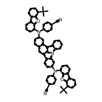 CC(C)(C)c1cccc2c1oc1c(N(c3ccc(C#N)cc3)c3ccc4cc5c6ccc(N(c7ccc(C#N)cc7)c7cccc8c7oc7c(C(C)(C)C)cccc78)cc6n6c7ccccc7c(c4c3)c56)cccc12